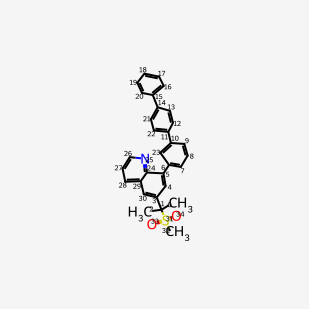 CC(C)(c1cc(-c2cccc(-c3ccc(-c4ccccc4)cc3)c2)c2ncccc2c1)S(C)(=O)=O